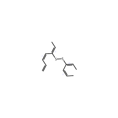 C=C/C=C\C(=C/C)SSC(/C=C\C)=C/C